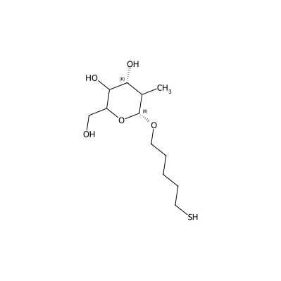 CC1[C@H](OCCCCCS)OC(CO)C(O)[C@@H]1O